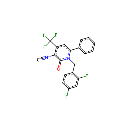 [C-]#[N+]c1c(C(F)(F)F)cc(-c2ccccc2)n(Cc2ccc(F)cc2F)c1=O